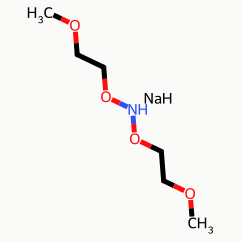 COCCONOCCOC.[NaH]